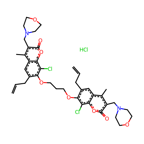 C=CCc1cc2c(C)c(CN3CCOCC3)c(=O)oc2c(Cl)c1OCCCOc1c(CC=C)cc2c(C)c(CN3CCOCC3)c(=O)oc2c1Cl.Cl